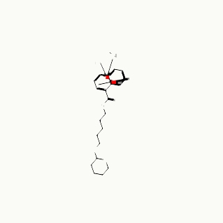 CNC1NC(=O)c2cccc3c(ccc(C(=O)NCCCCCOC4CCCCO4)c23)N1C